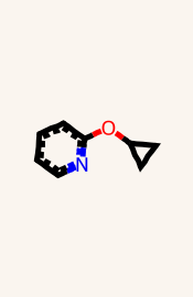 c1ccc(OC2CC2)nc1